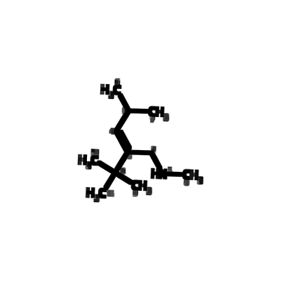 CNC/C(=C\C(C)C)C(C)(C)C